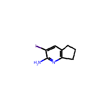 Nc1nc2c(cc1I)CCC2